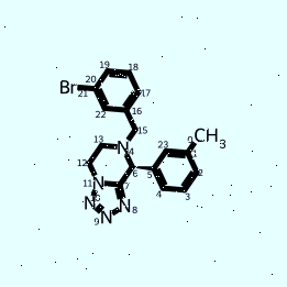 Cc1cccc([C@H]2c3nnnn3CCN2Cc2cccc(Br)c2)c1